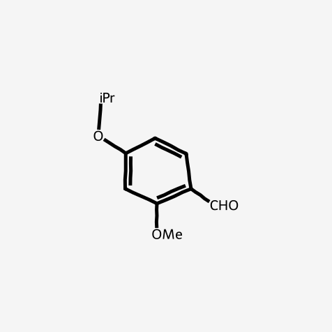 COc1cc(OC(C)C)ccc1C=O